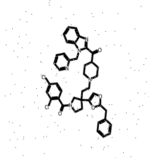 O=C(c1nc2ccccc2n1Cc1ccccn1)C1CCN(CCC2(C3=COC(Cc4ccccc4)O3)CCN(C(=O)c3ccc(Cl)cc3Cl)C2)CC1